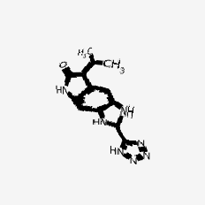 CC(C)=C1C(=O)Nc2cc3c(cc21)NC(c1nnn[nH]1)N3